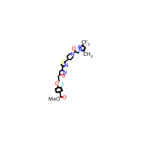 COC(=O)c1ccc(OCCC2CC(c3csc(C4CCN(C(=O)Cn5nc(C(F)(F)F)cc5C)CC4)n3)=NO2)c(F)c1